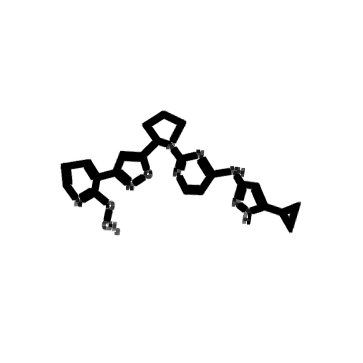 COc1ncccc1-c1cc(C2CCCN2c2nccc(Nc3cc(C4CC4)[nH]n3)n2)on1